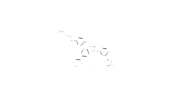 CC(C)c1noc(-c2cccc(NC(=O)C(Cc3ccc(C(=O)NCCC(=O)O)cc3)c3ccc(C4=CCCCC4)cc3)c2)n1